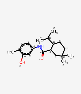 Cc1ccc(NC(=O)C2CC(C)(C)CCC2C(C)C)cc1O